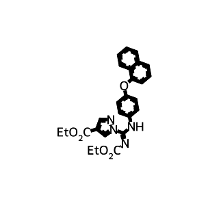 CCOC(=O)/N=C(/Nc1ccc(Oc2cccc3ccccc23)cc1)n1cc(C(=O)OCC)cn1